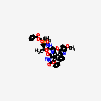 C=C[C@@H]1C[C@]1(NC(=O)[C@@H]1C[C@@H](Oc2cc(-c3ccccc3)nc3cc(OC)ccc23)CN1C(=O)[C@@H](NC(=O)OC1CCCC1)C(C)(C)C)P(C)(=O)OCOC(=O)c1ccccc1